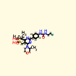 CC1COCCN1c1nc(-c2ccc(NC(=O)NCCF)cc2)nc2c1CS(O)(O)C2(C)C